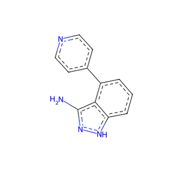 Nc1n[nH]c2cccc(-c3ccncc3)c12